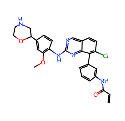 C=CC(=O)Nc1cccc(-c2c(Cl)ccc3cnc(Nc4ccc(C5CNCCO5)cc4OC)nc23)c1